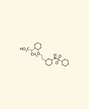 CC(C(=O)O)c1ccccc1OCCc1cccc(NS(=O)(=O)c2ccccc2)c1